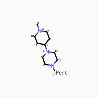 CCCC(C)N1CCN(C2CCN(C)CC2)CC1